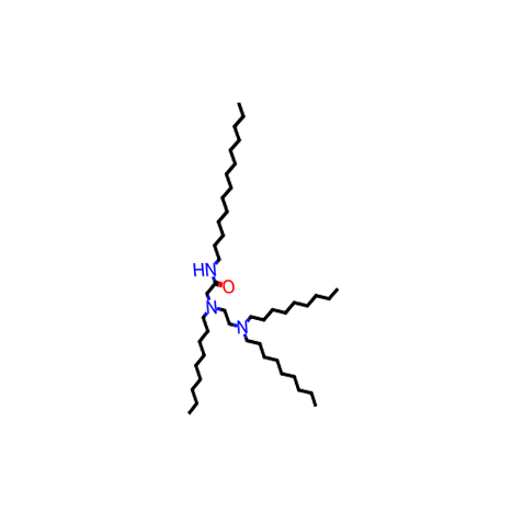 CCCCCCCCCCCCCCNC(=O)CN(CCCCCCCCC)CCN(CCCCCCCCC)CCCCCCCCC